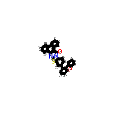 O=c1c2c3ccccc3c3ccccc3c2nc2sc3cc(-c4cccc5oc6ccccc6c45)ccc3n12